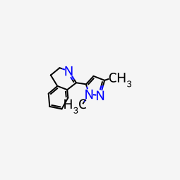 Cc1cc(C2=NCCc3ccccc32)n(C)n1